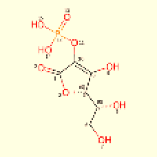 O=C1O[C@@H]([C@H](O)CO)C(O)=C1OP(=O)(O)O